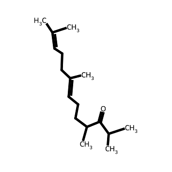 CC(C)=CCC/C(C)=C/CCC(C)C(=O)C(C)C